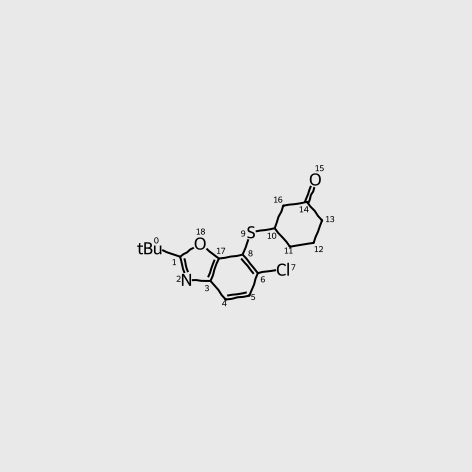 CC(C)(C)c1nc2ccc(Cl)c(SC3CCCC(=O)C3)c2o1